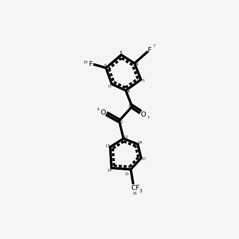 O=C(C(=O)c1cc(F)cc(F)c1)c1ccc(C(F)(F)F)cc1